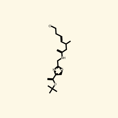 C=C(CC(C)/C=C/CCCl)NCc1nc(C(=C)OC(C)(C)C)cs1